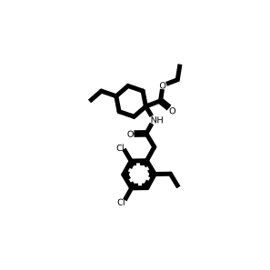 CCOC(=O)C1(NC(=O)Cc2c(Cl)cc(Cl)cc2CC)CCC(CC)CC1